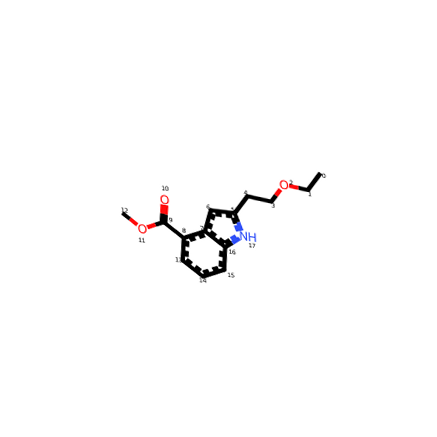 CCOCCc1cc2c(C(=O)OC)cccc2[nH]1